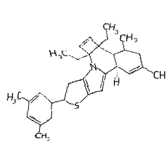 CCC12C=CC1(CC)n1c(cc3c1CC(C1C=C(C)C=C(C)C1)S3)[C@@H]1C=C(C)CC(C)C12